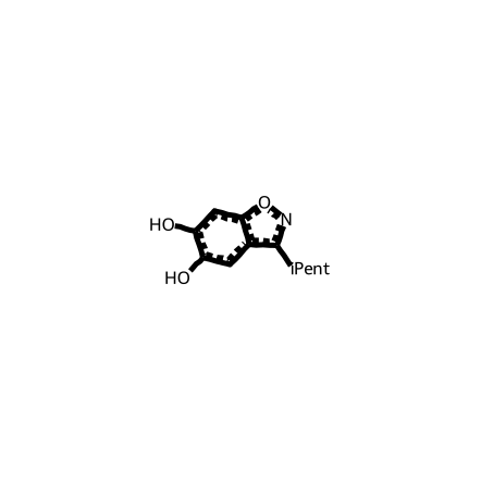 CCCC(C)c1noc2cc(O)c(O)cc12